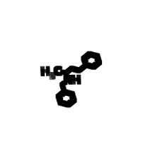 CC(C=Cc1ccccc1)NCc1ccccc1